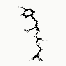 Cc1ccc(CC(N)COC(=O)NCC(N)=O)cc1